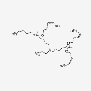 CCC/C=C\CCO[Si](C)(CCCCN(CCO)CCCC[Si](C)(OCC/C=C\CCC)OCC/C=C\CCC)OCC/C=C\CCC